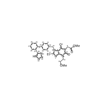 CCc1nc2c(c(=O)n(CC(=O)OC)c(=O)n2CCOC)n1Cc1ccc(-c2ccccc2-c2nnn[nH]2)cc1